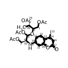 CC(=O)OCC(OC(OC(C)=O)[C@H](COC(C)=O)Nc1ccc2c(I)cc(=O)oc2c1)[C@H](C)OC(C)=O